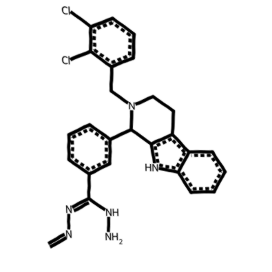 C=N/N=C(\NN)c1cccc(C2c3[nH]c4ccccc4c3CCN2Cc2cccc(Cl)c2Cl)c1